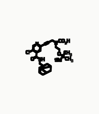 CC(C)(C)[Si](C)(C)OCCN(CC#Cc1cc(C(=O)NCC23CC4CC(CC(C4)C2)C3)c(Cl)cn1)C(=O)O